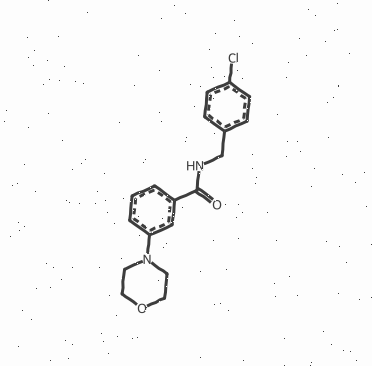 O=C(NCc1ccc(Cl)cc1)c1cccc(N2CCOCC2)c1